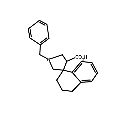 O=C(O)C1CN(Cc2ccccc2)CC12CCCc1ccccc12